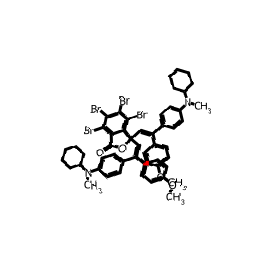 COc1ccc(C(=CC2(C=C(c3ccc(OC)cc3)c3ccc(N(C)C4CCCCC4)cc3)OC(=O)c3c(Br)c(Br)c(Br)c(Br)c32)c2ccc(N(C)C3CCCCC3)cc2)cc1